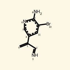 C=C(C=N)c1cnc(N)c(Br)c1